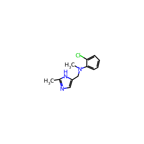 Cc1ncc(CN(C)c2ccccc2Cl)[nH]1